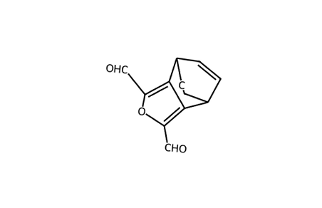 O=Cc1oc(C=O)c2c1C1C=CC2CC1